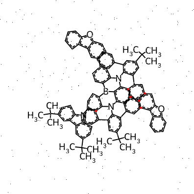 CC(C)(C)c1cc(-c2ccccc2)c(N2c3cc(-c4ccc5oc6ccccc6c5c4)ccc3B3c4ccc(-n5c6ccc(C(C)(C)C)cc6c6cc(C(C)(C)C)ccc65)cc4N(c4c(-c5ccccc5)cc(C(C)(C)C)cc4-c4ccccc4)c4cc(-c5ccc6oc7ccccc7c6c5)cc2c43)c(-c2ccccc2)c1